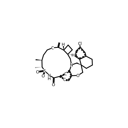 C=C1CCC[C@H](C)[C@@H](C)S(=O)(=O)NC(=O)c2ccc3c(c2)N(C[C@@H]2CC[C@@H]12)C[C@@]1(CCCc2cc(Cl)ccc21)CO3